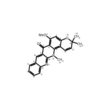 COc1cc2c(c3c1c(=O)c1cc4ccccc4nc1n3C)C=CC(C)(C)O2